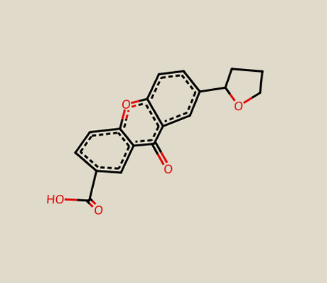 O=C(O)c1ccc2oc3ccc(C4CCCO4)cc3c(=O)c2c1